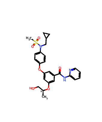 C[C@@H](CO)Oc1cc(Oc2ccc(N(CC3CC3)S(C)(=O)=O)cc2)cc(C(=O)Nc2ccccn2)c1